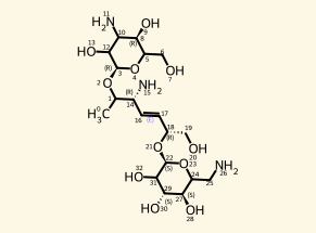 CC(O[C@@H]1OC(CO)[C@H](O)C(N)C1O)[C@H](N)/C=C/[C@H](CO)O[C@H]1OC(CN)[C@@H](O)[C@H](O)C1O